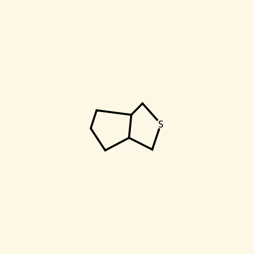 C1CC2CSCC2C1